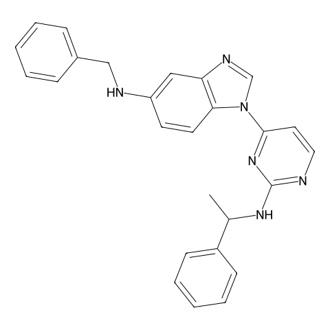 CC(Nc1nccc(-n2cnc3cc(NCc4ccccc4)ccc32)n1)c1ccccc1